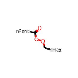 CCCCCCCOOC(=O)CCCCC